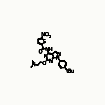 CN(C)CCOc1nc(NC(=O)c2ccc([N+](=O)[O-])s2)c2cnn(-c3ccc(C(C)(C)C)cc3)c2n1